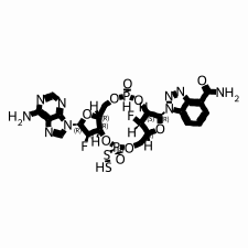 NC(=O)c1cccc2c1nnn2[C@@H]1O[C@@H]2CO[P@@](=O)(SS)O[C@H]3[C@@H](F)[C@H](n4cnc5c(N)ncnc54)O[C@@H]3CO[PH](=O)O[C@@H]1[C@@H]2F